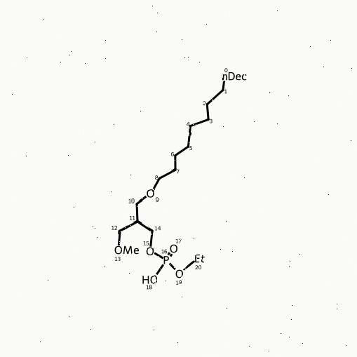 CCCCCCCCCCCCCCCCCCOCC(COC)COP(=O)(O)OCC